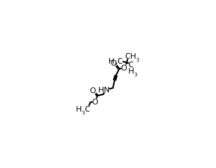 CCOC(=O)CNCC#CC(=O)OC(C)(C)C